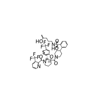 C=C(O)CCCNS(=O)(=O)c1ccccc1C1CCN(C(=O)[C@]2(Oc3csc(C(F)(F)F)c3)CCCN(C(=O)c3ncccc3C(F)(F)F)[C@@H]2CCC)CC1